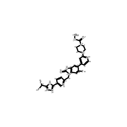 CC(C)(C)OC(=O)N1CCN(c2cc(-c3cc4oc(=O)n(Cc5ccc(-c6nnc(C(F)F)o6)cn5)c4cc3F)ccn2)CC1